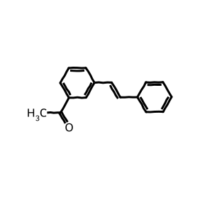 CC(=O)c1cccc(/C=C/c2ccccc2)c1